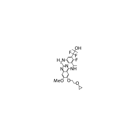 COc1cc2nc(C)nc(NC(C)c3cc(N)cc(C(F)(F)C(C)(C)O)c3F)c2cc1OCCOC1CC1